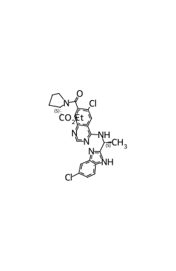 CCOC(=O)[C@@H]1CCCN1C(=O)c1cc2ncnc(N[C@@H](C)c3nc4cc(Cl)ccc4[nH]3)c2cc1Cl